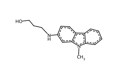 Cn1c2ccccc2c2ccc(NCCCO)cc21